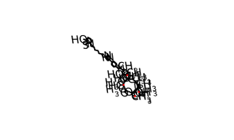 CC[C@H]1OC(=O)[C@H](C)[C@@H](O)[C@H](C)[C@@H](O[C@@H]2O[C@H](C)C[C@H](N(C)Cc3ccc(-c4cn(CCCCCCCn5cccc(O)c5=S)nn4)cc3)[C@H]2O)[C@](C)(O)C[C@@H](C)CN(C)[C@H](C)[C@@H](O)[C@]1(C)O